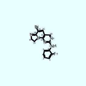 Fc1ccccc1Nc1ncc2c(n1)N1CCN=C1C(Br)=C2